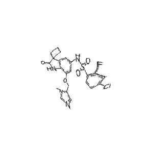 Cn1cncc1COc1cc(NS(=O)(=O)c2ccc(Cl)cc2F)cc2c1NC(=O)C21CCC1